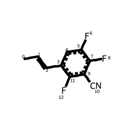 C/C=C/c1cc(F)c(F)c(C#N)c1F